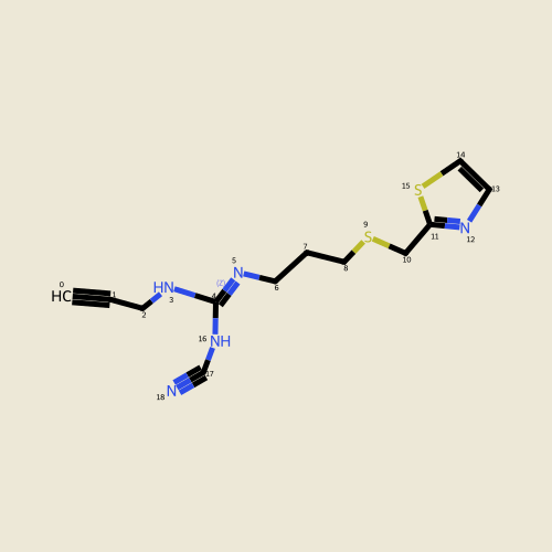 C#CCN/C(=N/CCCSCc1nccs1)NC#N